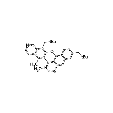 Cc1c2c(c(CC(C)(C)C)c3cnccc13)Oc1c3ccc(CC(C)(C)C)cc3cc3nc[n+](C)c-2c13